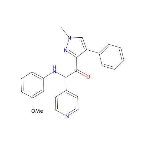 COc1cccc(NC(C(=O)c2nn(C)cc2-c2ccccc2)c2ccncc2)c1